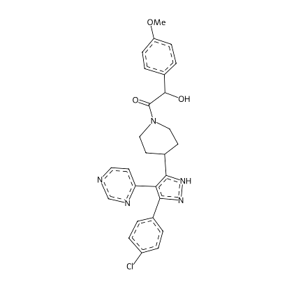 COc1ccc(C(O)C(=O)N2CCC(c3[nH]nc(-c4ccc(Cl)cc4)c3-c3ccncn3)CC2)cc1